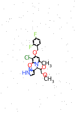 COCC(=O)C(c1cc[nH]n1)n1c(C)cc(OCc2ccc(F)cc2F)c(Cl)c1=O